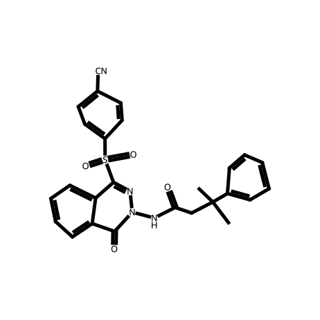 CC(C)(CC(=O)Nn1nc(S(=O)(=O)c2ccc(C#N)cc2)c2ccccc2c1=O)c1ccccc1